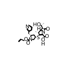 C=CCOC(=O)N1C[C@@H](SC2=C(C(=O)O)N3C(=O)[C@H]([C@@H](C)O)[C@H]3[C@H]2C)C[C@H]1Cc1cccnc1